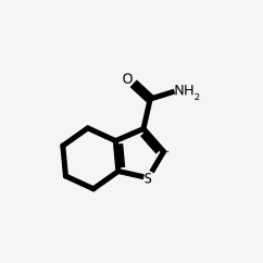 NC(=O)c1[c]sc2c1CCCC2